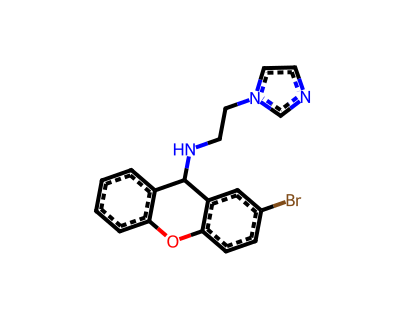 Brc1ccc2c(c1)C(NCCn1ccnc1)c1ccccc1O2